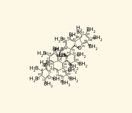 Bc1cc2c(-c3c(B)c(B)c(B)c(B)c3B)c3c(B)c(B)c(B)c(B)c3c(-c3c(B)c(B)c(B)c(-c4c(B)c(B)c(B)c5c4oc4c(B)c(B)c(B)c(B)c45)c3B)c2c(B)c1B